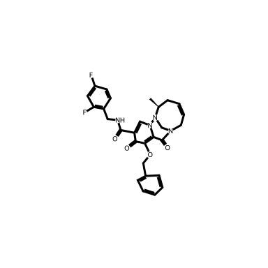 C[C@H]1CC=CCN2CN1n1cc(C(=O)NCc3ccc(F)cc3F)c(=O)c(OCc3ccccc3)c1C2=O